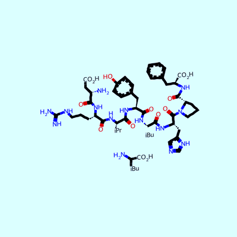 CCC(C)C(N)C(=O)O.CC[C@H](C)[C@H](NC(=O)[C@H](Cc1ccc(O)cc1)NC(=O)[C@@H](NC(=O)[C@H](CCCNC(=N)N)NC(=O)[C@@H](N)CC(=O)O)C(C)C)C(=O)N[C@@H](Cc1cnc[nH]1)C(=O)N1CCC[C@H]1C(=O)N[C@@H](Cc1ccccc1)C(=O)O